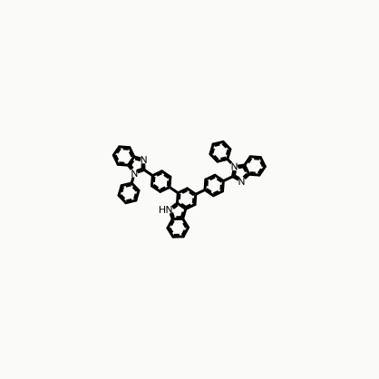 c1ccc(-n2c(-c3ccc(-c4cc(-c5ccc(-c6nc7ccccc7n6-c6ccccc6)cc5)c5[nH]c6ccccc6c5c4)cc3)nc3ccccc32)cc1